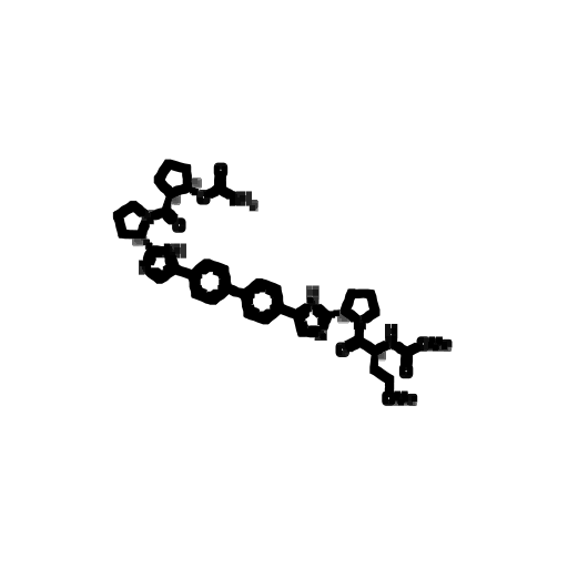 COCC[C@H](NC(=O)OC)C(=O)N1CCC[C@H]1c1ncc(-c2ccc(-c3ccc(-c4cnc([C@@H]5CCCN5C(=O)[C@H]5CCC[C@@H]5OC(N)=O)[nH]4)cc3)cc2)[nH]1